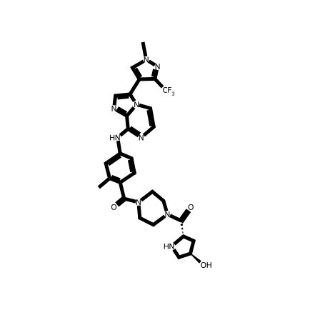 Cc1cc(Nc2nccn3c(-c4cn(C)nc4C(F)(F)F)cnc23)ccc1C(=O)N1CCN(C(=O)[C@@H]2C[C@@H](O)CN2)CC1